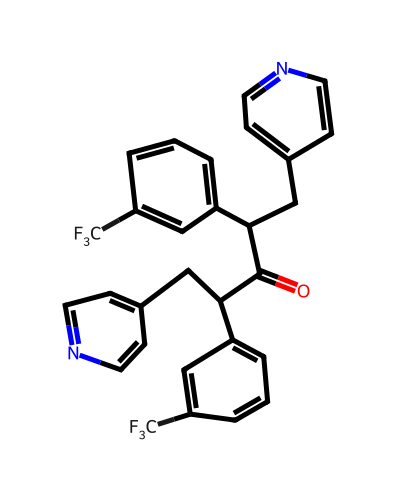 O=C(C(Cc1ccncc1)c1cccc(C(F)(F)F)c1)C(Cc1ccncc1)c1cccc(C(F)(F)F)c1